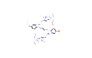 CCn1nc(C)cc1C(=O)Nc1nc2cc(C(N)=O)cc(OCCCN3CCOCC3)c2n1C/C=C/Cn1c(NC(=O)c2cc(C)nn2CC)nc2cc(C(N)=O)cc(OCCCN3CCOCC3)c21